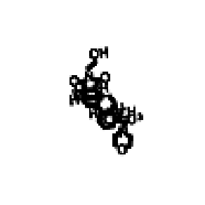 CC(C)C1=C[C@@]23CC[C@@H]4[C@](C)(CCC[C@@]4(C)C(=O)N4CCOCC4)[C@H]2C[C@@H]1[C@H]1C(=O)N(CCO)C(=O)[C@H]13